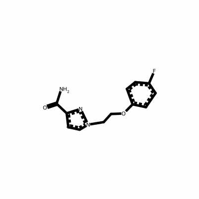 NC(=O)c1[c]cn(CCOc2ccc(F)cc2)n1